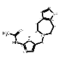 CC(=O)Nc1ncc(CN2CCc3ccsc3CC2)s1